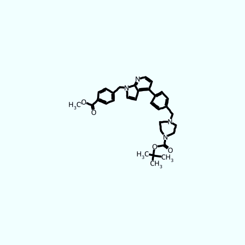 COC(=O)c1ccc(Cn2ccc3c(-c4ccc(CN5CCN(C(=O)OC(C)(C)C)CC5)cc4)ccnc32)cc1